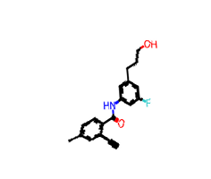 C#Cc1cc(C)ccc1C(=O)Nc1cc(F)cc(CCCO)c1